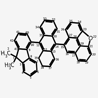 CC1(C)c2ccccc2-c2c(-c3c4c(c(-c5cc6cccc7oc8cccc5c8c67)c5ccccc35)C=CCC4)cccc21